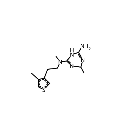 Cc1cscc1CCN(C)C1=NC(C)N=C(N)N1